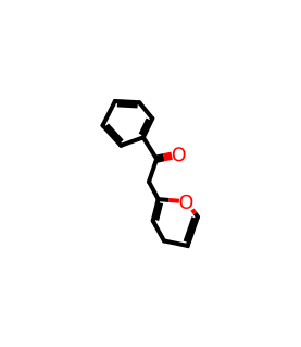 O=C(CC1=CCC=CO1)c1ccccc1